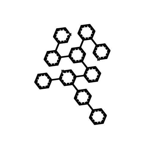 c1ccc(-c2ccc(-c3cc(-c4ccccc4)ncc3-c3ccccc3-c3cc(-c4ccccc4-c4cccnc4)cc(-c4ccccc4-c4cccnc4)c3)cc2)cc1